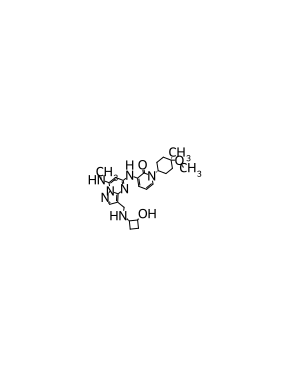 CNc1cc(Nc2cccn([C@H]3CC[C@](C)(OC)CC3)c2=O)nc2c(CN[C@@H]3CC[C@@H]3O)cnn12